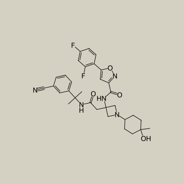 CC1(O)CCC(N2CC(CC(=O)NC(C)(C)c3cccc(C#N)c3)(NC(=O)c3cc(-c4ccc(F)cc4F)on3)C2)CC1